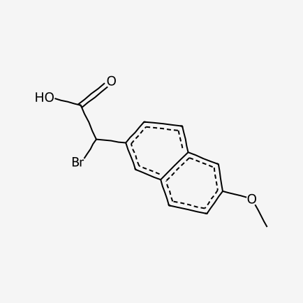 COc1ccc2cc(C(Br)C(=O)O)ccc2c1